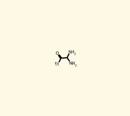 CCC(=O)C(N)N